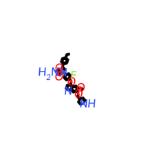 CCc1ccc(CCN(C(=O)C(N)=O)c2ccc(Oc3ccnc4cc(OCC5CCNCC5)c(OC)cc34)c(F)c2)cc1